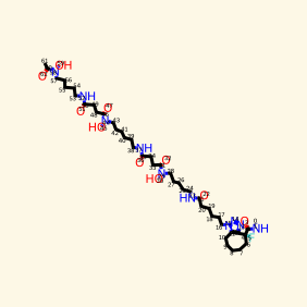 CNC(=O)C1(F)CCCCCc2c1nnn2CCCCCC(=O)NCCCCCN(O)C(=O)CCC(=O)NCCCCCCN(O)C(=O)CCC(=O)NCCCCCN(O)C(C)=O